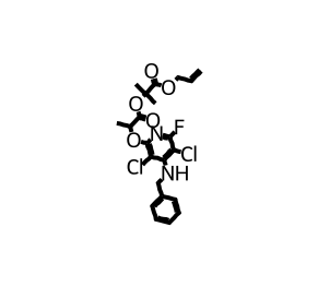 C=CCOC(=O)C(C)(C)OC(=O)C(C)Oc1nc(F)c(Cl)c(NCc2ccccc2)c1Cl